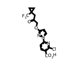 O=C(COc1ccn(-c2ccc(C(=O)O)c(Cl)n2)n1)CC1(C(F)(F)F)CC1